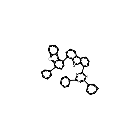 c1ccc(-c2nc(-c3ccccc3)nc(-c3cccc4c3sc3c(-c5ccc(-c6ccccc6)c6oc7ccccc7c56)cccc34)n2)cc1